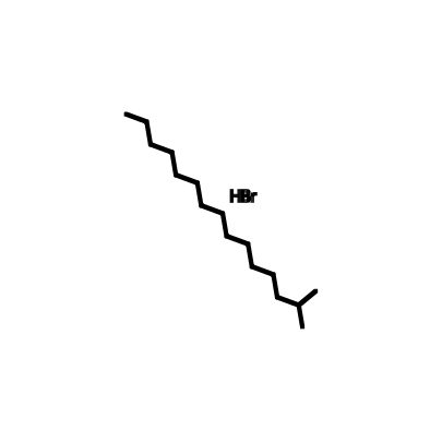 Br.CCCCCCCCCCCCCC(C)C